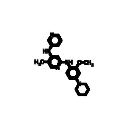 COc1cc(N2CCCCC2)ccc1Nc1cc(Nc2cccnc2)c(C)cn1